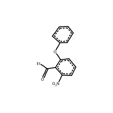 CCC(=O)c1c(Oc2ccccc2)cccc1[N+](=O)[O-]